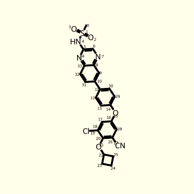 CS(=O)(=O)Nc1cnc2cc(-c3ccc(Oc4cc(Cl)c(OC5CCC5)c(C#N)c4)cc3)ccc2n1